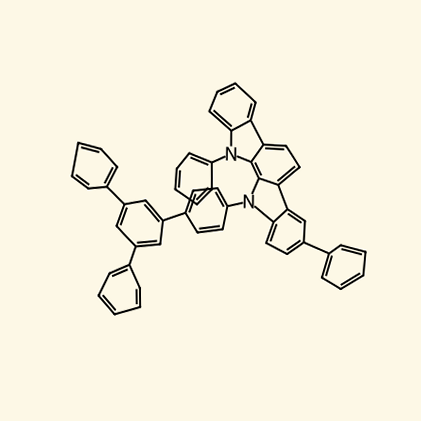 c1ccc(-c2cc(-c3ccccc3)cc(-c3ccc(-n4c5ccc(-c6ccccc6)cc5c5ccc6c7ccccc7n(-c7ccccc7)c6c54)cc3)c2)cc1